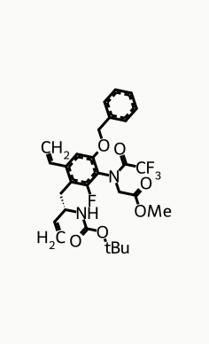 C=Cc1cc(OCc2ccccc2)c(N(CC(=O)OC)C(=O)C(F)(F)F)c(F)c1C[C@@H](C=C)NC(=O)OC(C)(C)C